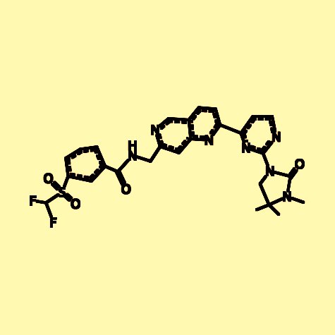 CN1C(=O)N(c2nccc(-c3ccc4cnc(CNC(=O)c5cccc(S(=O)(=O)C(F)F)c5)cc4n3)n2)CC1(C)C